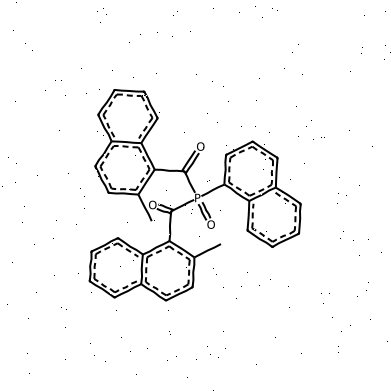 Cc1ccc2ccccc2c1C(=O)P(=O)(C(=O)c1c(C)ccc2ccccc12)c1cccc2ccccc12